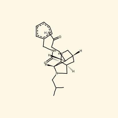 CC(C)CN1C[C@@H]2C[C@H]3CN[C@]2(C(=O)NCc2ccccc2)[C@@H]1[C@@H]3CCC(N)=O